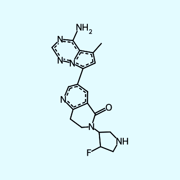 Cc1cc(-c2cnc3c(c2)C(=O)N(C2CNCC2F)CC3)n2ncnc(N)c12